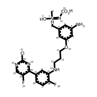 C[SH](O)(Cc1cc(N)cc(OCCCNc2cc(-c3nc(Cl)ncc3F)ccc2F)c1)=NC(=O)O